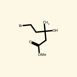 COC(=O)CC(C)(O)CCBr